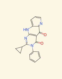 O=c1c2ncccc2[nH]c2nc(C3CC3)n(-c3ccccc3)c(=O)c12